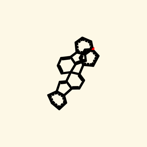 C1=CC2(C3=Cc4ccccc4C3=C1)C1=Cc3ccccc3C1=CC=C2c1ccccc1